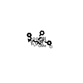 COC(=O)C([SiH3])(CCC(=O)N(C)C1(Cc2ccccc2)CC1)NC(=O)[C@H](CC1CCCCC1)NC(=O)OCc1cccc(Cl)c1